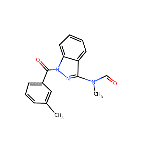 Cc1cccc(C(=O)n2nc(N(C)C=O)c3ccccc32)c1